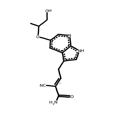 CC(CO)Oc1cnc2[nH]cc(C/C=C(\C#N)C(N)=O)c2c1